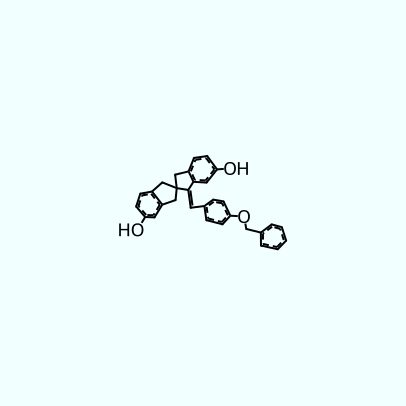 Oc1ccc2c(c1)CC1(C2)Cc2ccc(O)cc2/C1=C\c1ccc(OCc2ccccc2)cc1